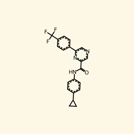 O=C(Nc1ccc(C2CC2)cc1)c1cncc(-c2ccc(C(F)(F)F)cc2)n1